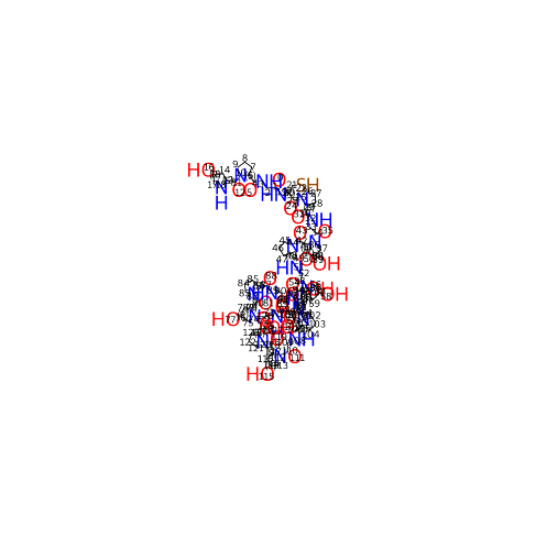 O=C(CNC(=O)[C@@H]1CCCN1C(=O)[C@@H]1C[C@@H](O)CN1)N[C@@H](CS)C(=O)N1CCC[C@H]1C(=O)NCC(=O)N1C[C@H](O)C[C@H]1C(=O)N1CCC[C@H]1C(=O)NCC(=O)N1C[C@H](O)C[C@H]1C(=O)N1CCC[C@H]1C(=O)NCC(=O)N1C[C@H](O)C[C@H]1C(=O)N1CCC[C@H]1C(=O)NCC(=O)N1C[C@H](O)C[C@H]1C(=O)N1CCC[C@H]1C(=O)NCC(=O)N1C[C@H](O)C[C@H]1C(=O)N1CCC[C@H]1C(=O)O